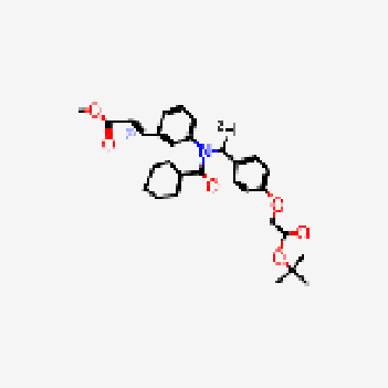 [2H]C(c1ccc(OCC(=O)OC(C)(C)C)cc1)N(C(=O)C1CCCCC1)c1cccc(/C=C/C(=O)OC)c1